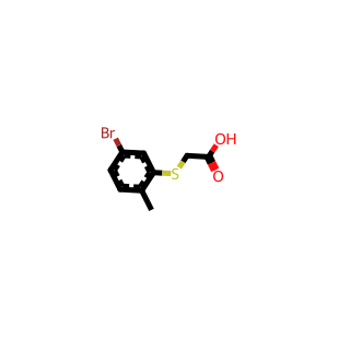 Cc1ccc(Br)cc1SCC(=O)O